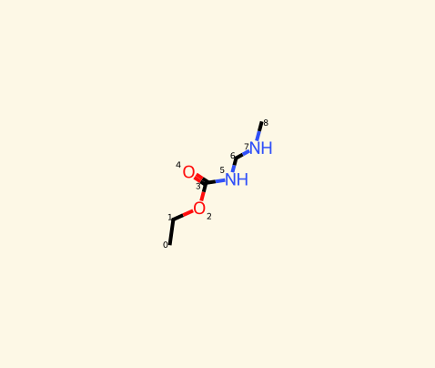 CCOC(=O)NCNC